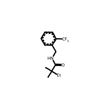 CCC(C)(C)C(=O)NCc1ccccc1C(F)(F)F